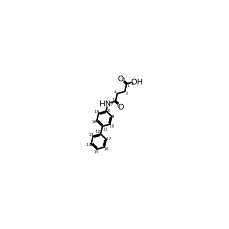 O=C(O)CCC(=O)Nc1ccc(-c2c[c]ccc2)cc1